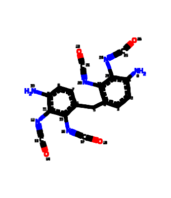 Nc1ccc(Cc2ccc(N)c(N=C=O)c2N=C=O)c(N=C=O)c1N=C=O